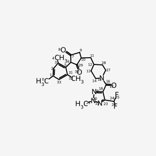 Cc1cc(C)c(C2C(=O)CC(CC3CCN(C(=O)c4nn(C)nc4C(F)F)CC3)C2=O)c(C)c1